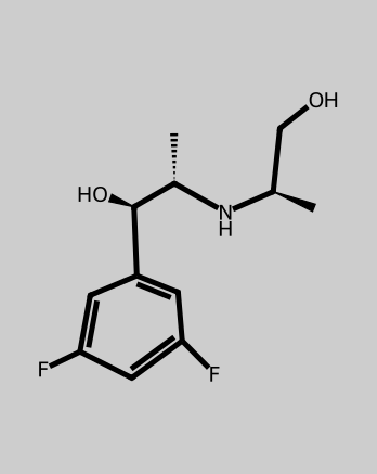 C[C@H](CO)N[C@@H](C)[C@H](O)c1cc(F)cc(F)c1